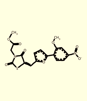 COC(=O)CN1C(=O)S/C(=C/c2ccc(-c3ccc([N+](=O)[O-])cc3OC)o2)C1=O